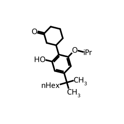 CCCCCCC(C)(C)c1cc(O)c(C2CCCC(=O)C2)c(OC(C)C)c1